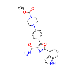 CC(C)(C)OC(=O)N1CCN(c2ccc(-c3oc(-c4cccc5[nH]ccc45)nc3C(N)=O)cc2)CC1